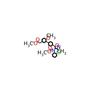 CCOC(=O)Cc1ccc(OC)c(-c2ccc(-c3onc(C)c3N(C(=O)OCC)c3ccccc3Cl)cc2)c1